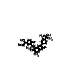 Cc1nc2cc(F)c(-c3cnc(C(C)(C)O)nc3)nc2c(N[C@H](C)c2cc(C(O)CO)ccc2F)c1Cl